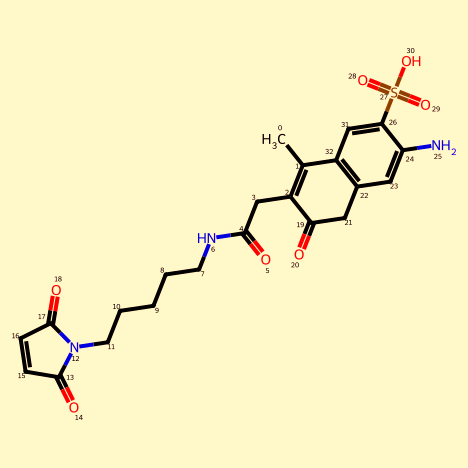 CC1=C(CC(=O)NCCCCCN2C(=O)C=CC2=O)C(=O)Cc2cc(N)c(S(=O)(=O)O)cc21